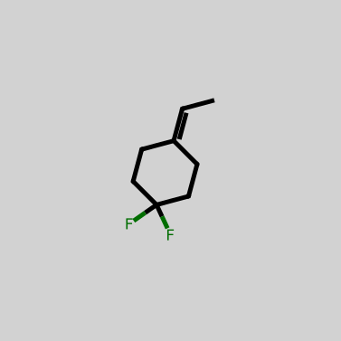 CC=C1CCC(F)(F)CC1